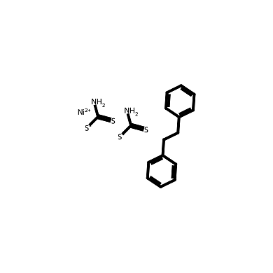 NC(=S)[S-].NC(=S)[S-].[Ni+2].c1ccc(CCc2ccccc2)cc1